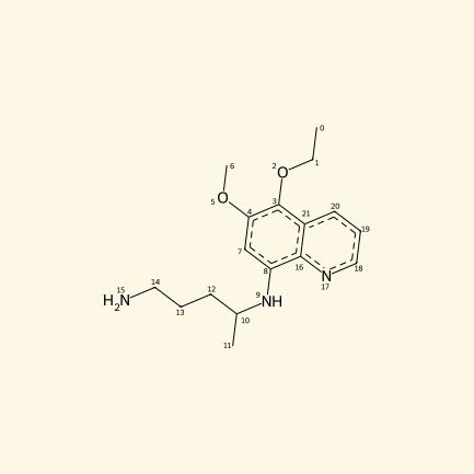 CCOc1c(OC)cc(NC(C)CCCN)c2ncccc12